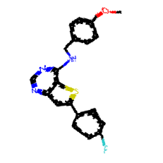 COc1ccc(CNc2ncnc3cc(-c4ccc(F)cc4)sc23)cc1